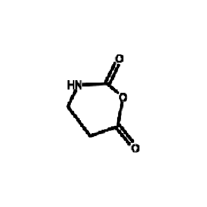 O=C1CCNC(=O)O1